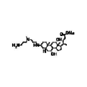 COC(=O)CC[C@@H](C)C1CCC2C3C(C[C@H](O)[C@@]21C)[C@@]1(C)CC[C@H](NCCCN(C)CCCN)C[C@H]1C[C@H]3O